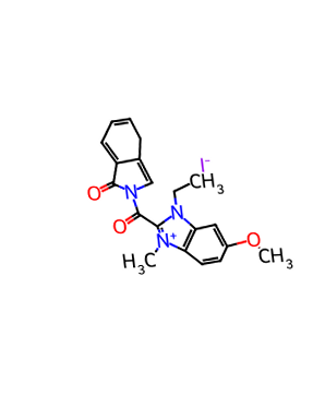 CCn1c(C(=O)N2C=C3CC=CC=C3C2=O)[n+](C)c2ccc(OC)cc21.[I-]